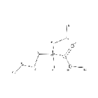 CCCCC(C)(CCC)C(=O)OC